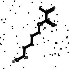 C=C(C)C(=O)OCCCCC[O]